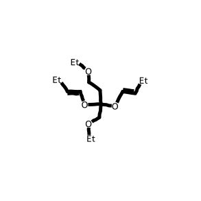 CCC=COC(CCOCC)(COCC)OC=CCC